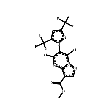 COC(=O)c1cnn2c(Cl)c(-n3nc(C(F)(F)F)cc3C(F)(F)F)c(Cl)nc12